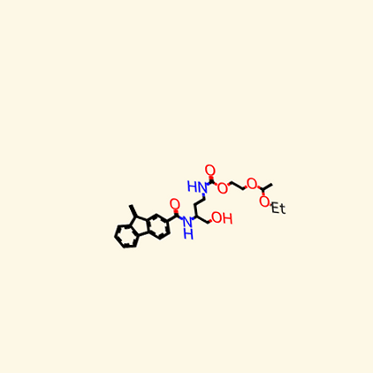 C=C1c2ccccc2-c2ccc(C(=O)NC(CO)CCNC(=O)OCCOC(C)OCC)cc21